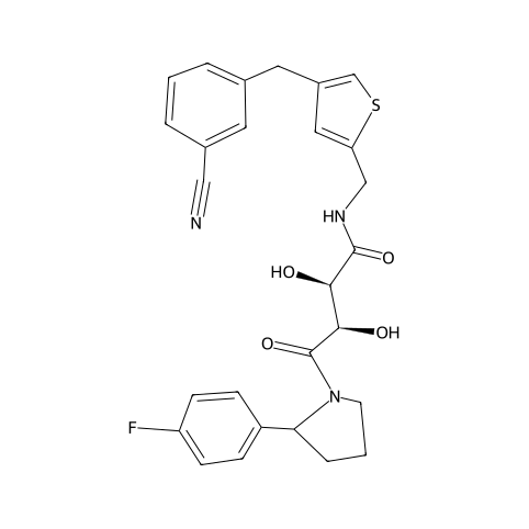 N#Cc1cccc(Cc2csc(CNC(=O)[C@H](O)[C@@H](O)C(=O)N3CCCC3c3ccc(F)cc3)c2)c1